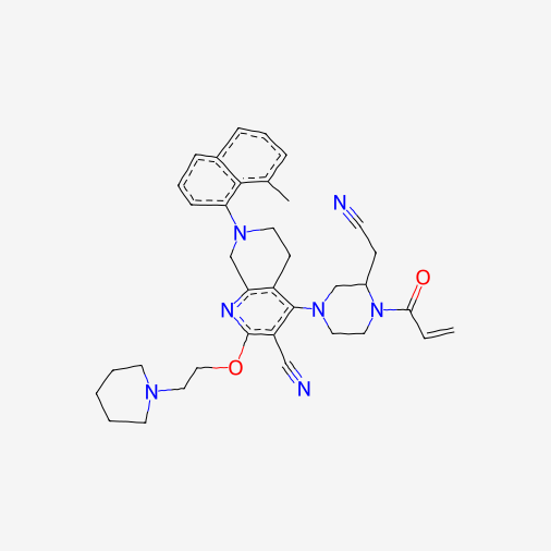 C=CC(=O)N1CCN(c2c(C#N)c(OCCN3CCCCC3)nc3c2CCN(c2cccc4cccc(C)c24)C3)CC1CC#N